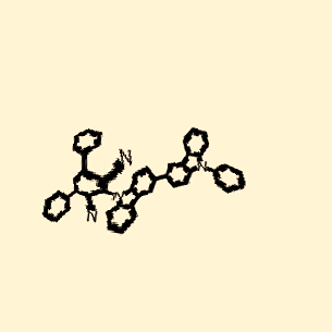 N#Cc1c(-c2ccccc2)cc(-c2ccccc2)c(C#N)c1-n1c2ccccc2c2cc(-c3ccc4c(c3)c3ccccc3n4-c3ccccc3)ccc21